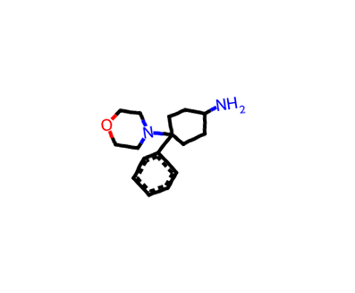 NC1CCC(c2ccccc2)(N2CCOCC2)CC1